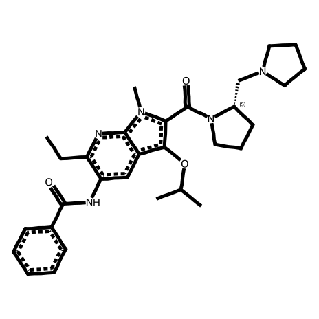 CCc1nc2c(cc1NC(=O)c1ccccc1)c(OC(C)C)c(C(=O)N1CCC[C@H]1CN1CCCC1)n2C